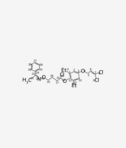 CCc1cc(OCC=C(Cl)Cl)cc(CC)c1OC(Cl)CCCON=C(C)c1ccccc1